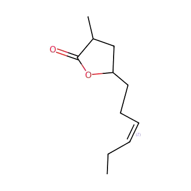 CC/C=C\CCC1CC(C)C(=O)O1